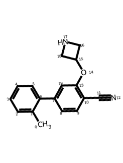 Cc1ccccc1-c1ccc(C#N)c(OC2CNC2)c1